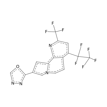 FC(F)(F)c1cc(C(F)(F)C(F)(F)F)c2ccn3cc(-c4nnco4)cc3c2n1